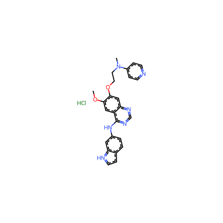 COc1cc2c(Nc3ccc4cc[nH]c4c3)ncnc2cc1OCCN(C)c1ccncc1.Cl